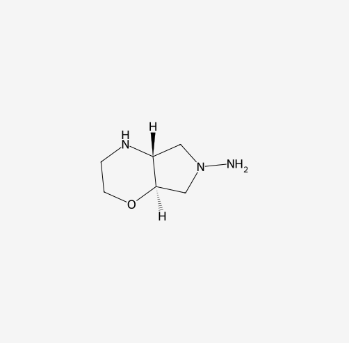 NN1C[C@H]2NCCO[C@@H]2C1